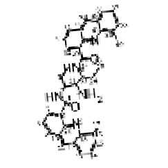 CCC(NC(=O)c1cccc2cc3cccc(C)c3nc12)C(N)C(CC)NC(=O)c1cccc2cc3cccc(C)c3nc12